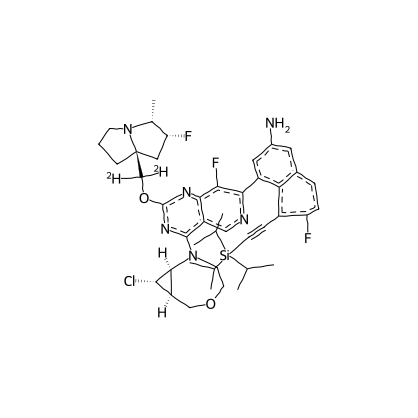 [2H]C([2H])(Oc1nc(N2CCOC[C@H]3[C@H](Cl)[C@H]32)c2cnc(-c3cc(N)cc4ccc(F)c(C#C[Si](C(C)C)(C(C)C)C(C)C)c34)c(F)c2n1)[C@@]12CCCN1[C@H](C)[C@H](F)C2